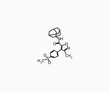 Cc1noc(C(=O)NC23CC4CC(CC(C4)C2)C3)c1-c1ccc(S(C)(=O)=O)cc1